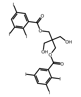 O=C(OCC(CO)(CO)COC(=O)c1cc(I)cc(I)c1I)c1cc(I)cc(I)c1I